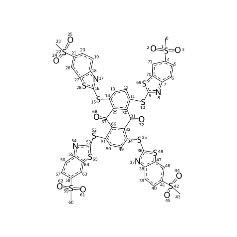 CS(=O)(=O)c1ccc2nc(Sc3ccc(Sc4nc5ccc(S(C)(=O)=O)cc5s4)c4c3C(=O)c3c(Sc5nc6ccc(S(C)(=O)=O)cc6s5)ccc(Sc5nc6ccc(S(C)(=O)=O)cc6s5)c3C4=O)sc2c1